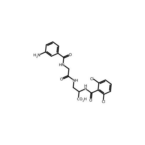 Nc1cccc(C(=O)NCC(=O)NCC(NC(=O)c2c(Cl)cccc2Cl)C(=O)O)c1